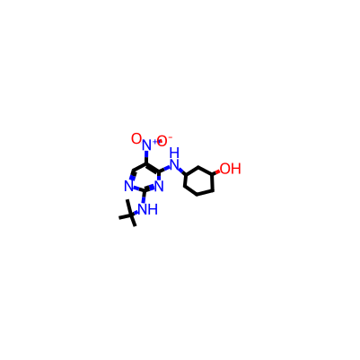 CC(C)(C)Nc1ncc([N+](=O)[O-])c(NC2CCCC(O)C2)n1